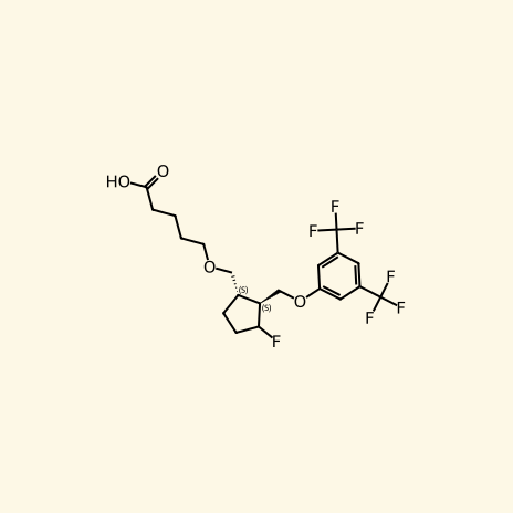 O=C(O)CCCCOC[C@H]1CCC(F)[C@@H]1COc1cc(C(F)(F)F)cc(C(F)(F)F)c1